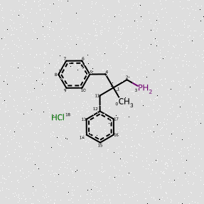 CC(CP)(Cc1ccccc1)Cc1ccccc1.Cl